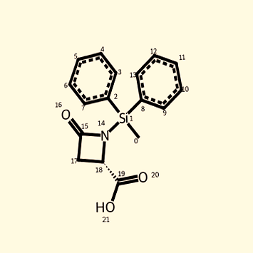 C[Si](c1ccccc1)(c1ccccc1)N1C(=O)C[C@H]1C(=O)O